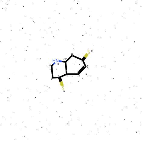 S=C1C=CC2C(=S)CCNC2C1